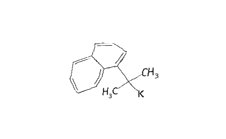 C[C](C)([K])c1cccc2ccccc12